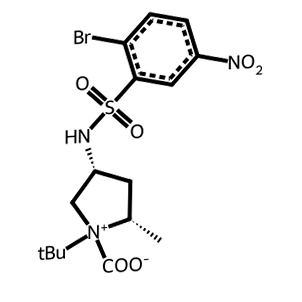 C[C@H]1C[C@@H](NS(=O)(=O)c2cc([N+](=O)[O-])ccc2Br)C[N+]1(C(=O)[O-])C(C)(C)C